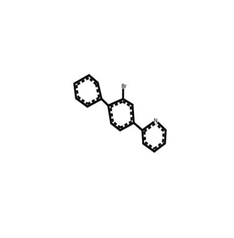 Brc1cc(-c2ccccn2)ccc1-c1ccccc1